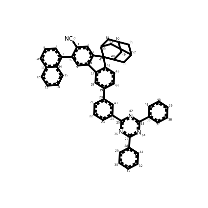 N#Cc1cc2c(cc1-c1cccc3ccccc13)-c1cc(-c3cccc(-c4nc(-c5ccccc5)nc(-c5ccccc5)n4)c3)ccc1C21C2CC3CC(C2)CC1C3